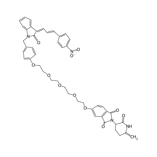 C=C1CCC(N2C(=O)c3ccc(OCCOCCOCCOCCOc4ccc(CN5C(=O)/C(=C\C=C\c6ccc([N+](=O)[O-])cc6)c6ccccc65)cc4)cc3C2=O)C(=O)N1